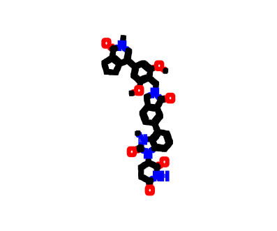 COc1cc(-c2cn(C)c(=O)c3c2CCC3)cc(OC)c1CN1Cc2ccc(-c3cccc4c3n(C)c(=O)n4C3CCC(=O)NC3=O)cc2C1=O